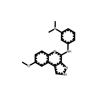 COc1ccc2nc(Nc3cccc(N(C)C)c3)c3n[nH]cc3c2c1